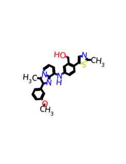 COc1cccc(C2N=C3C(Nc4ccc(-c5cnc(C)s5)c(CO)c4)=CC=CN3C2C)c1